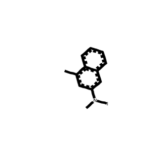 Cc1cc(N(C)I)cc2ccccc12